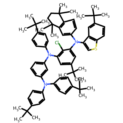 CC(C)(C)c1ccc(N(c2ccc(C(C)(C)C)cc2)c2cccc(N(c3ccc(C(C)(C)C)cc3)c3cc(C(C)(C)C)cc(N(c4ccc5c(c4)C(C)(C)CCC5(C)C)c4csc5ccc(C(C)(C)C)cc45)c3Cl)c2)cc1